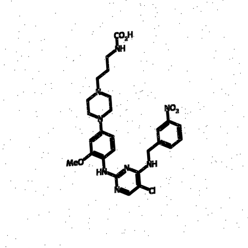 COc1cc(N2CCN(CCCNC(=O)O)CC2)ccc1Nc1ncc(Cl)c(NCc2cccc([N+](=O)[O-])c2)n1